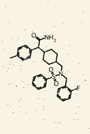 Cc1ccc(C(C(N)=O)C2CCC(CN(Cc3ccccc3F)S(=O)(=O)c3ccccc3)CC2)cc1